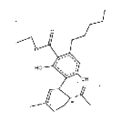 C=C(C)[C@@H]1CCC(C)=CC1c1c(O)cc(CCCCC)c(C(=O)OCC)c1O